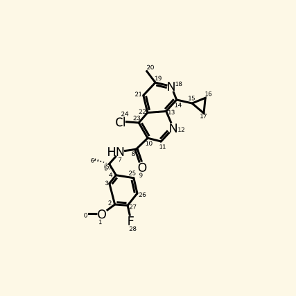 COc1cc([C@H](C)NC(=O)c2cnc3c(C4CC4)nc(C)cc3c2Cl)ccc1F